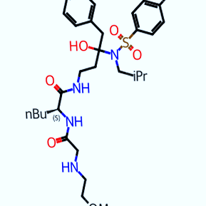 CCCC[C@H](NC(=O)CNCCOC)C(=O)NCCC(O)(Cc1ccccc1)N(CC(C)C)S(=O)(=O)c1ccc(OC)cc1